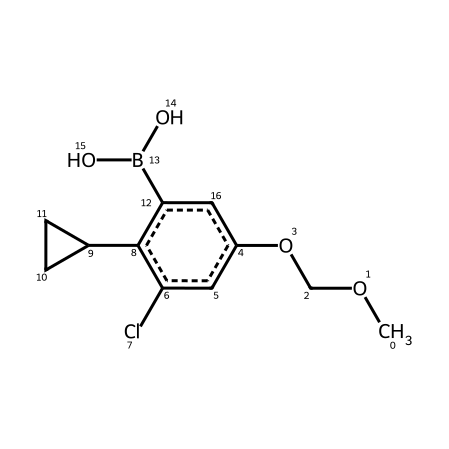 COCOc1cc(Cl)c(C2CC2)c(B(O)O)c1